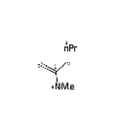 [CH]=C(CCCC)NC